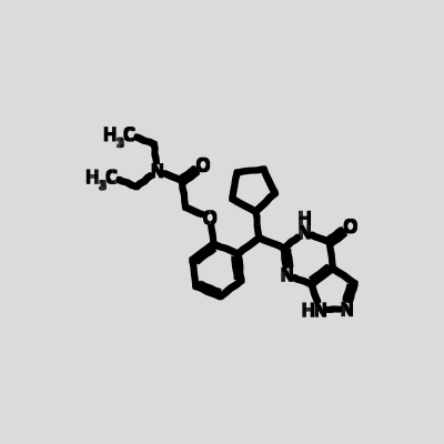 CCN(CC)C(=O)COc1ccccc1C(c1nc2[nH]ncc2c(=O)[nH]1)C1CCCC1